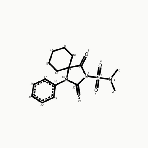 CN(C)S(=O)(=O)N1C(=O)C2(CCCCC2)N(c2ccccc2)C1=S